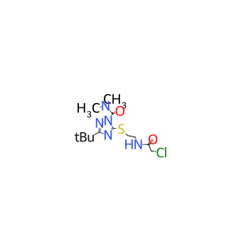 CN(C)C(=O)n1nc(C(C)(C)C)nc1SCCNC(=O)CCl